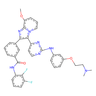 COc1cccn2c(-c3ccnc(Nc4cccc(OCCN(C)C)c4)n3)c(-c3cccc(C(=O)Nc4cccc(F)c4F)c3)nc12